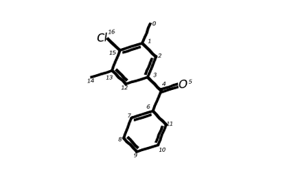 Cc1cc(C(=O)c2ccccc2)cc(C)c1Cl